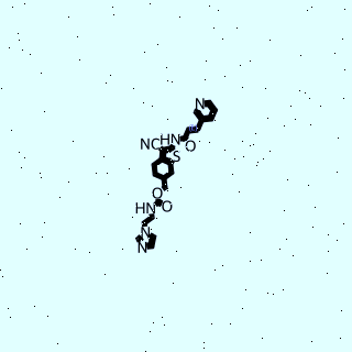 N#Cc1c(NC(=O)/C=C/c2cccnc2)sc2c1CCC(COC(=O)NCCn1ccnc1)C2